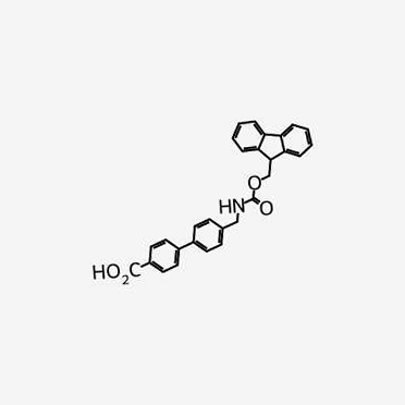 O=C(NCc1ccc(-c2ccc(C(=O)O)cc2)cc1)OCC1c2ccccc2-c2ccccc21